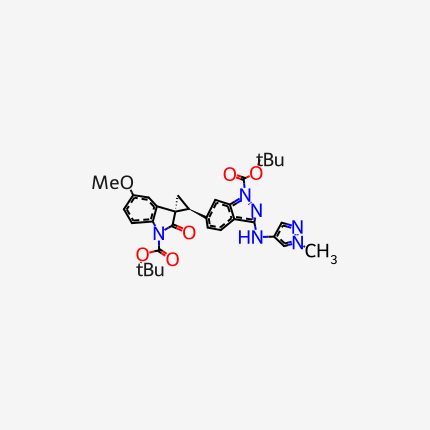 COc1ccc2c(c1)[C@]1(C[C@H]1c1ccc3c(Nc4cnn(C)c4)nn(C(=O)OC(C)(C)C)c3c1)C(=O)N2C(=O)OC(C)(C)C